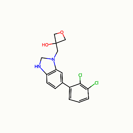 OC1(CN2CNc3ccc(-c4cccc(Cl)c4Cl)cc32)COC1